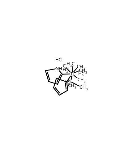 C[SiH](C)[Ti]([CH3])([CH3])([CH3])([CH3])([CH3])([C]1=CC=CC1)[c]1ccc[nH]1.Cl.Cl